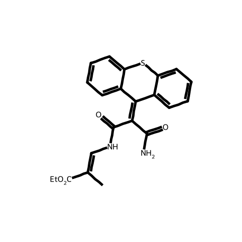 CCOC(=O)C(C)=CNC(=O)C(C(N)=O)=C1c2ccccc2Sc2ccccc21